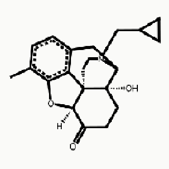 Cc1ccc2c3c1O[C@@H]1C(=O)CC[C@]4(O)C(C2)N(CC2CC2)CC[C@@]314